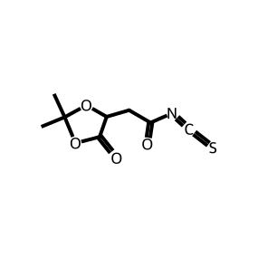 CC1(C)OC(=O)C(CC(=O)N=C=S)O1